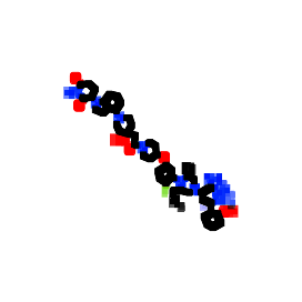 CCC1CN(C(/C=C(\N)c2ccccc2O)=C(N)N)CC(C)N1c1cc(OC2CCN(C(=O)CC3(O)CCN(c4cccc5c4CCN5C4CCC(=O)NC4=O)CC3)CC2)ccc1F